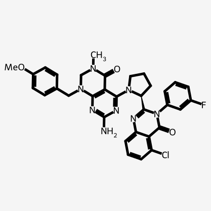 COc1ccc(CN2CN(C)C(=O)c3c2nc(N)nc3N2CCC[C@H]2c2nc3cccc(Cl)c3c(=O)n2-c2cccc(F)c2)cc1